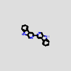 c1ccc2c(c1)[nH]c1cnc(-c3cc4c(cn3)[nH]c3ccccc34)cc12